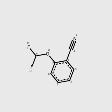 N#Cc1cc[c]cc1OC(F)F